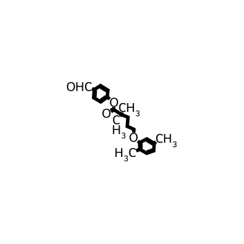 Cc1ccc(C)c(OCCCC(C)(C)C(=O)Oc2ccc(C=O)cc2)c1